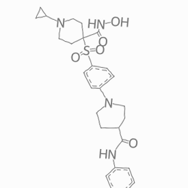 O=C(Nc1ccccc1)C1CCN(c2ccc(S(=O)(=O)C3(C(=O)NO)CCN(C4CC4)CC3)cc2)CC1